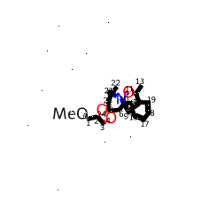 COCC1COC2(CC(C)(C)N(OC(C)c3ccccc3)C(C)(C)C2)O1